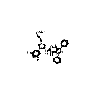 COCCN1C[C@@H](NC(=O)Nc2c(Cl)c(-c3ccccc3)nn2-c2ccccc2)[C@H](c2cc(F)cc(F)c2)C1